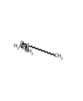 CCCCCCCCCCCCCCCCCCSC(CC(=O)ON)C(=O)ON